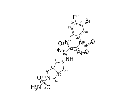 NS(=O)(=O)N1CC2CC(Nc3nonc3-c3noc(=O)n3-c3ccc(F)c(Br)c3)CC2C1